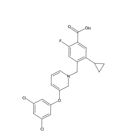 O=C(O)c1cc(C2CC2)c(CN2C=CC=C(Oc3cc(Cl)cc(Cl)c3)C2)cc1F